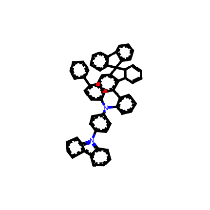 C1=CC2c3c(-c4ccccc4N(c4ccc(-c5ccccc5)cc4)c4ccc(-n5c6ccccc6c6ccccc65)cc4)cccc3C3(c4ccccc4-c4ccccc43)C2C=C1